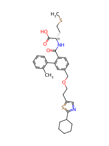 CSCC[C@H](NC(=O)c1ccc(COCCc2cnc(C3CCCCC3)s2)cc1-c1ccccc1C)C(=O)O